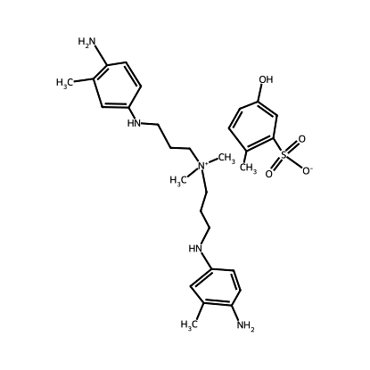 Cc1cc(NCCC[N+](C)(C)CCCNc2ccc(N)c(C)c2)ccc1N.Cc1ccc(O)cc1S(=O)(=O)[O-]